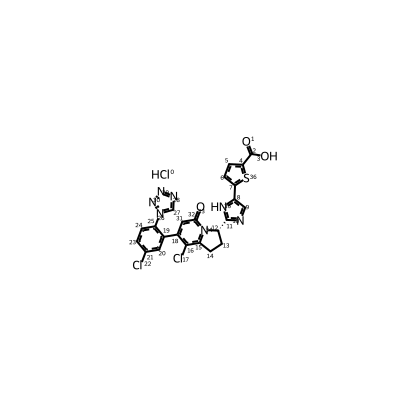 Cl.O=C(O)c1ccc(-c2cnc([C@@H]3CCc4c(Cl)c(-c5cc(Cl)ccc5-n5cnnn5)cc(=O)n43)[nH]2)s1